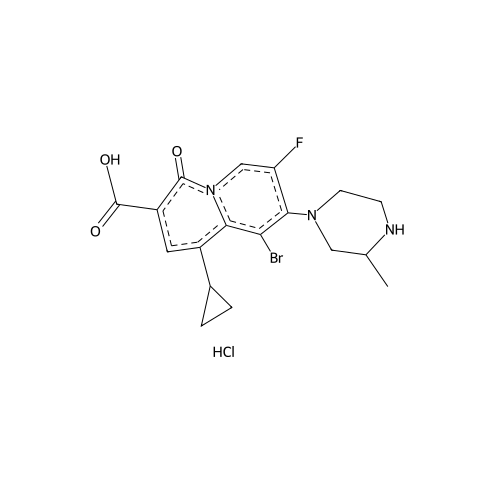 CC1CN(c2c(F)cn3c(=O)c(C(=O)O)cc(C4CC4)c3c2Br)CCN1.Cl